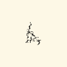 CCCCOB(OCCCC)O[C@@H](CCCl)CC(=O)OC(C)(C)CC